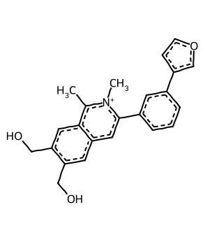 Cc1c2cc(CO)c(CO)cc2cc(-c2cccc(-c3ccoc3)c2)[n+]1C